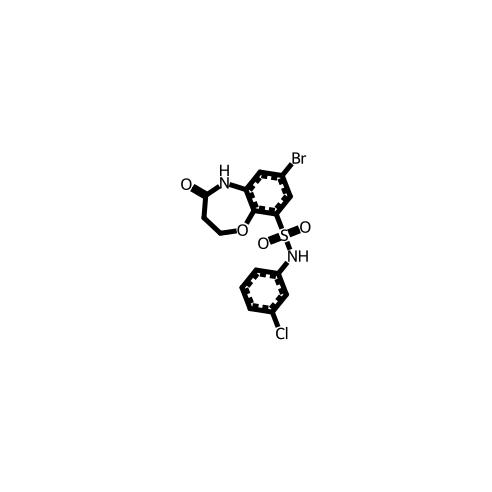 O=C1CCOc2c(cc(Br)cc2S(=O)(=O)Nc2cccc(Cl)c2)N1